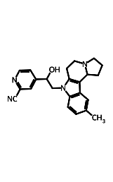 Cc1ccc2c(c1)c1c(n2CC(O)c2ccnc(C#N)c2)CCN2CCCC12